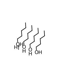 CCCCCO.CCCCCO.CCCCCO.CCCCCO.[Hf]